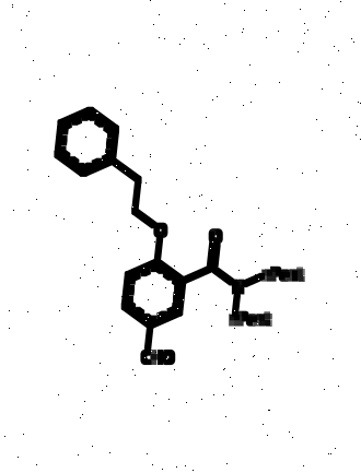 CCCCCN(CCCCC)C(=O)c1cc(C=O)ccc1OCCc1ccccc1